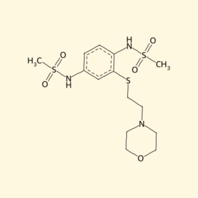 CS(=O)(=O)Nc1ccc(NS(C)(=O)=O)c(SCCN2CCOCC2)c1